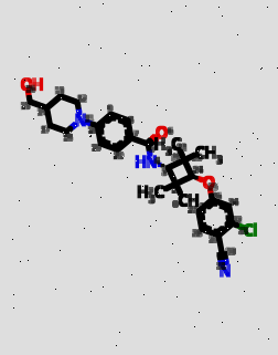 CC1(C)[C@H](NC(=O)c2ccc(N3CCC(CO)CC3)cc2)C(C)(C)[C@H]1Oc1ccc(C#N)c(Cl)c1